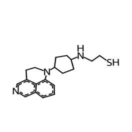 SCCNC1CCC(N2CCc3cncc4cccc2c34)CC1